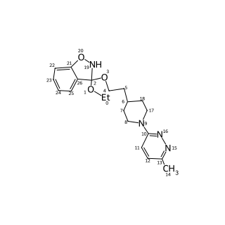 CCOC1(OCCC2CCN(c3ccc(C)nn3)CC2)NOc2ccccc21